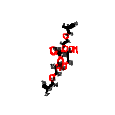 C=C(C)COCCOC(=O)OCCOCC(=C)C.OCCO